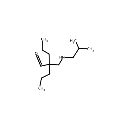 CCCC(C=O)(CCC)CNCC(C)C